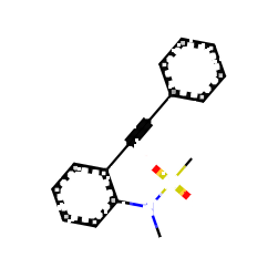 CN(c1ccccc1C#Cc1ccccc1)S(C)(=O)=O